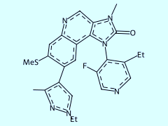 CCc1cncc(F)c1-n1c(=O)n(C)c2cnc3cc(SC)c(-c4cn(CC)nc4C)cc3c21